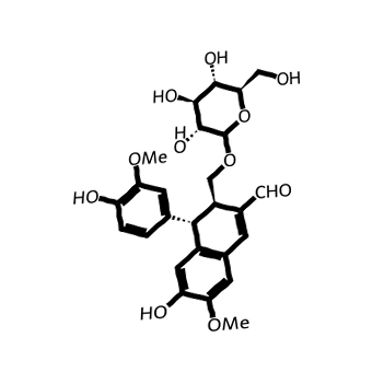 COc1cc([C@H]2c3cc(O)c(OC)cc3C=C(C=O)[C@@H]2COC2O[C@H](CO)[C@@H](O)[C@H](O)[C@H]2O)ccc1O